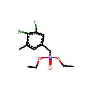 CCOP(=O)(Cc1cc(C)c(Br)c(F)c1)OCC